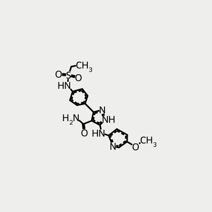 CCS(=O)(=O)Nc1ccc(-c2n[nH]c(Nc3ccc(OC)cn3)c2C(N)=O)cc1